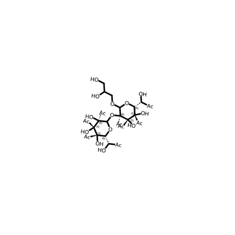 CC(=O)C(O)[C@H]1OC(O[C@@]2(C(C)=O)C(OCC(O)CO)O[C@H](C(O)C(C)=O)[C@@](O)(C(C)=O)[C@@]2(O)C(C)=O)[C@@](O)(C(C)=O)[C@](O)(C(C)=O)[C@]1(O)C(C)=O